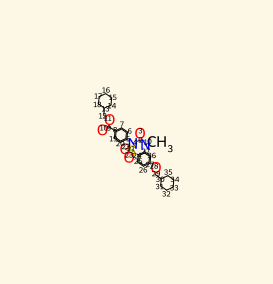 CN1C(=O)N(c2ccc(C(=O)OCC3CCCCC3)cc2)S(=O)(=O)c2ccc(OCC3CCCCC3)cc21